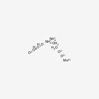 O.O.O.O.[Mo+6].[NH4+].[NH4+].[O-2].[O-2].[O-2].[O-2]